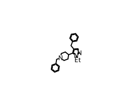 CCn1ncc(Cc2ccccc2)c1C1CCN(Cc2ccccc2)CC1